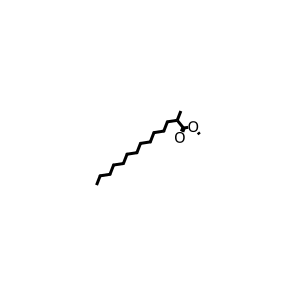 CCCCCCCCCCCCC(C)C(=O)OC